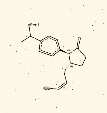 CCCC/C=C\C[C@H]1CCC(=O)[C@@H]1c1ccc(C(C)CCCCC)cc1